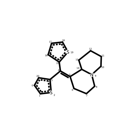 c1csc(C(=C2CCCN3CCCCC23)c2cccs2)c1